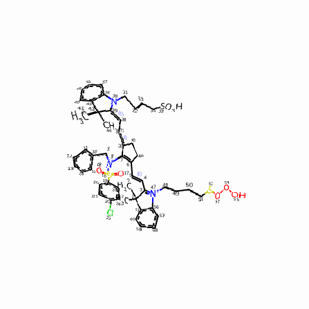 CC1(C)C(/C=C/C2=C(N(Cc3ccccc3)S(=O)(=O)c3ccc(Cl)cc3)C(=C/C=C3/N(CCCCS(=O)(=O)O)c4ccccc4C3(C)C)/CC2)=[N+](CCCCSOOO)c2ccccc21